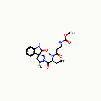 CC(C)C[C@@H](C(=O)N1C[C@]2(C[C@H]1C#N)C(=O)Nc1ccccc12)N(C)C(=O)CCNC(=O)OC(C)(C)C